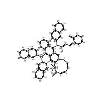 C=C1/C=C\C=C/Cc2cc3c(N(/C(C)=C/C=c4/ccccc4=C)c4ccc5ccccc5c4)c4ccccc4c(N(c4ccc5ccccc5c4)c4ccc5ccccc5c4)c3cc2[SH]1(C)(C)C